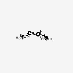 Cc1cc(CC(=O)N[C@H]2CC[C@H](CCN3CCc4sc(OCC(C)(F)F)nc4C3)CC2)[nH]n1